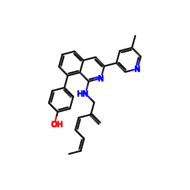 C=C(/C=C\C=C/C)CNc1nc(-c2cncc(C)c2)cc2cccc(-c3ccc(O)cc3)c12